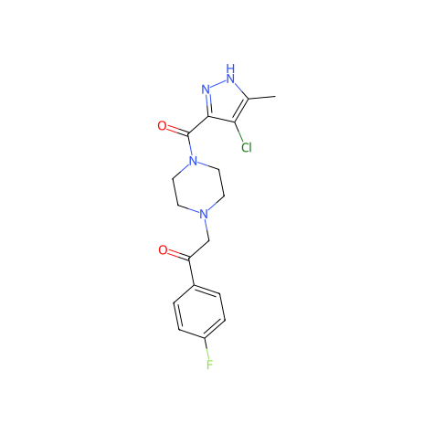 Cc1[nH]nc(C(=O)N2CCN(CC(=O)c3ccc(F)cc3)CC2)c1Cl